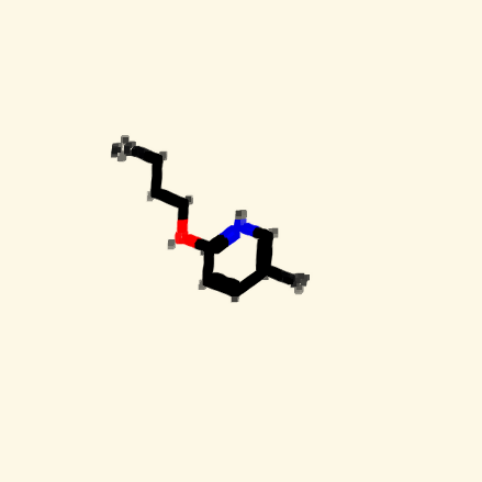 CC(C)c1ccc(OCCCC(F)(F)F)nc1